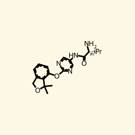 CC(C)[C@@H](N)C(=O)Nc1cnc(Oc2cccc3c2C(C)(C)OC3)nc1